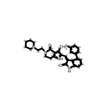 Cc1c(/C=C2\C(=O)Nc3cccc(-c4cccc(F)c4)c32)[nH]c2c1C(=O)N(CCN1CCCCC1)CC2